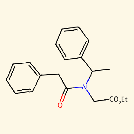 CCOC(=O)CN(C(=O)Cc1ccccc1)C(C)c1ccccc1